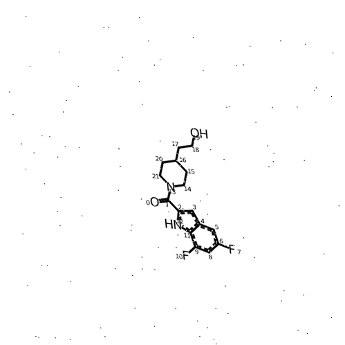 O=C(c1cc2cc(F)cc(F)c2[nH]1)N1CCC(CCO)CC1